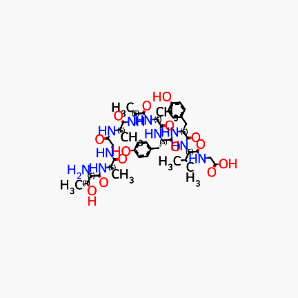 CC(C)[C@H](NC(=O)[C@H](Cc1ccc(O)cc1)NC(=O)[C@H](Cc1ccc(O)cc1)NC(=O)[C@H](C)NC(=O)[C@H](C)NC(=O)[C@H](C)NC(=O)CNC(=O)[C@H](C)NC(=O)[C@@H](N)[C@@H](C)O)C(=O)NCC(=O)O